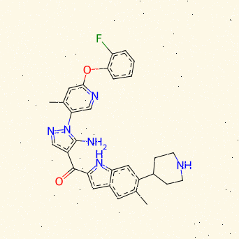 Cc1cc2cc(C(=O)c3cnn(-c4cnc(Oc5ccccc5F)cc4C)c3N)[nH]c2cc1C1CCNCC1